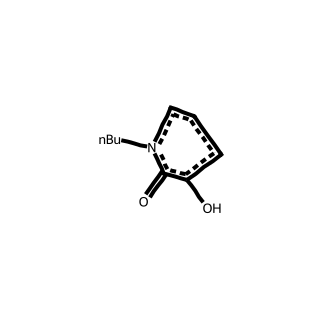 CCCCn1cccc(O)c1=O